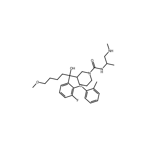 CNCC(C)NC(=O)N1CCCC(C(O)(CCCCOC)c2cccc(F)c2Oc2ccccc2C)C1